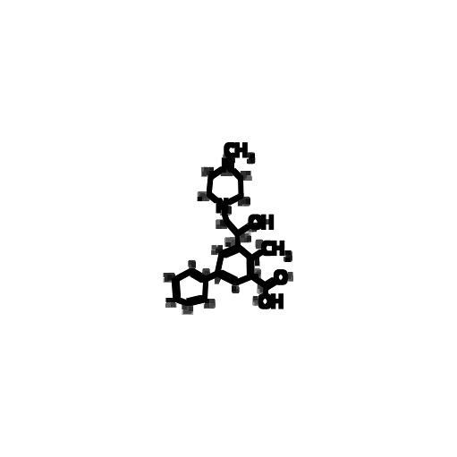 Cc1c(C(=O)O)cc(-c2ccccc2)cc1C(O)CN1CCN(C)CC1